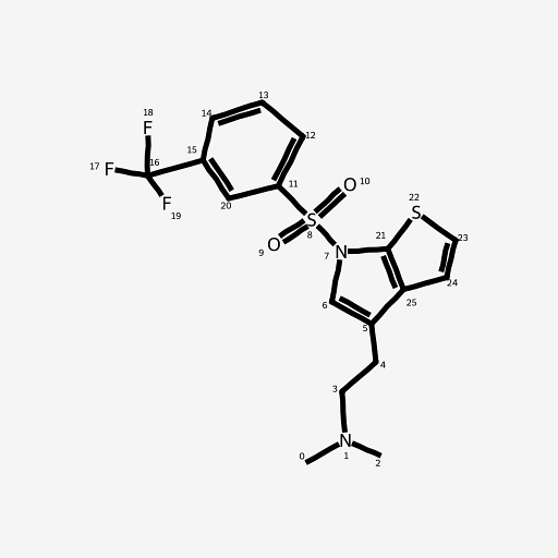 CN(C)CCc1cn(S(=O)(=O)c2cccc(C(F)(F)F)c2)c2sccc12